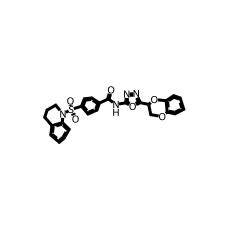 O=C(Nc1nnc(C2COc3ccccc3O2)o1)c1ccc(S(=O)(=O)N2CCCc3ccccc32)cc1